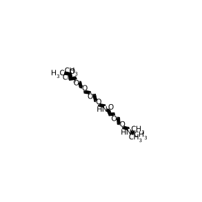 CC(C)(C)NCCOCCOCCC(=O)NCCOCCOCCOCCOCCC(=O)C(C)(C)C